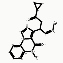 CC(C)n1c(=O)c2c(C(/C=N\O)CC(=O)C3CC3)ncn2c2ccccc21